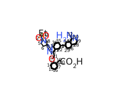 CCS(=O)(=O)N1CCC(n2nc(COc3ccccc3CC(=O)O)c3cc(-c4ccc5ccnc(N)c5c4)ccc32)C1